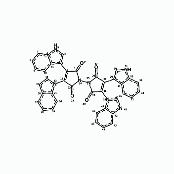 O=C1C(c2c[nH]c3ccccc23)=C(n2ccc3ccccc32)C(=O)N1N1C(=O)C(c2c[nH]c3ccccc23)=C(n2cnc3ccccc32)C1=O